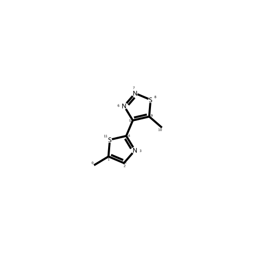 Cc1[c]nc(-c2nnsc2C)s1